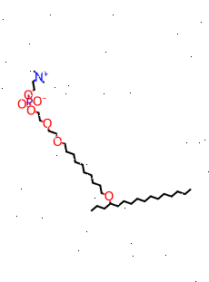 CCCCCCCCCCCCC(CCC)OCCCCCCCCCCOCCOCCOP(=O)([O-])OCC[N+](C)(C)C